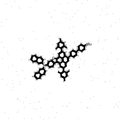 Cc1cc(C)c(-c2cc3cc(-c4ccc(-c5ccc(C(C)(C)C)cc5)cc4)c4cc(-c5c(C)cc(C)cc5C)cc5c6oc7cc(N(c8ccc9ccccc9c8)c8ccc9ccccc9c8)ccc7c6c(c2)c3c45)c(C)c1